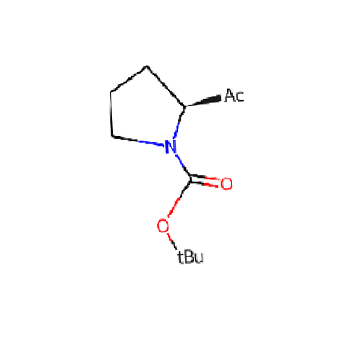 CC(=O)[C@@H]1CCCN1C(=O)OC(C)(C)C